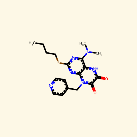 CCCCSc1nc(N(C)C)c2[nH]c(=O)c(=O)n(Cc3ccncc3)c2n1